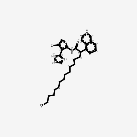 CCCCCCCCCCCCCCC(C(=O)Nc1scc(Cl)c1-c1ncn[nH]1)c1cccc2cnccc12